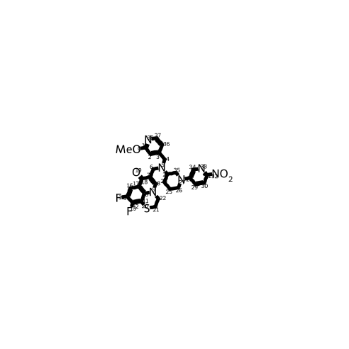 COc1cc(CN(Cc2cn3c4c(c(F)c(F)cc4c2=O)SCC3)C2CCCN(c3ccc([N+](=O)[O-])nc3)C2)ccn1